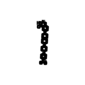 O=c1[nH]ncc2ccc(N3CCC4(CC3)CCN(C3CCN(c5ccc([N+](=O)[O-])cc5)CC3)CC4)cc12